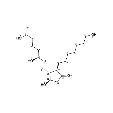 C[C@@H](O)CCC[C@H](O)/C=C/[C@H]1[C@H](O)CC(=O)[C@@H]1CCCCCCCO